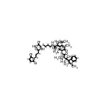 CN[C@H](C(=O)N[C@H](C(=O)N(C)[C@H](/C=C(\C)C(=O)NCCCC[C@H](NC(=O)CCCN1C(=O)C=CC1=O)C(=O)O)C(C)C)C(C)(C)C)C(C)(C)c1cn(C)c2ccccc12